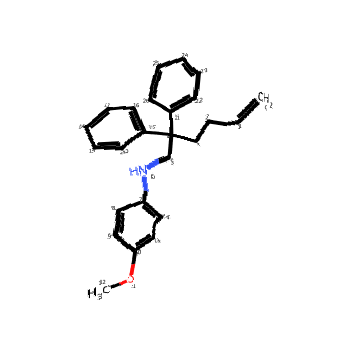 C=CCCC(CNc1ccc(OC)cc1)(c1ccccc1)c1ccccc1